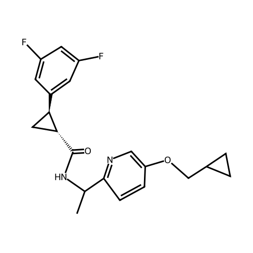 CC(NC(=O)[C@@H]1C[C@H]1c1cc(F)cc(F)c1)c1ccc(OCC2CC2)cn1